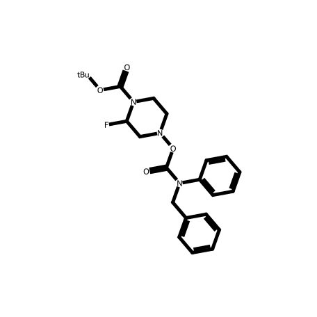 CC(C)(C)OC(=O)N1CCN(OC(=O)N(Cc2ccccc2)c2ccccc2)CC1F